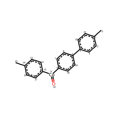 Cc1ccc(-c2cc[c]([Co](=[O])[c]3ccc(C)cc3)cc2)cc1